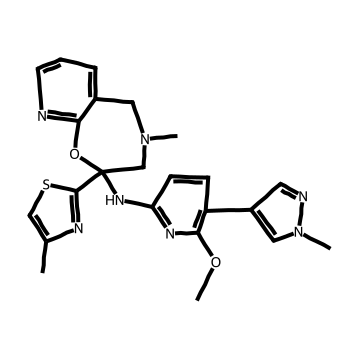 COc1nc(NC2(c3nc(C)cs3)CN(C)Cc3cccnc3O2)ccc1-c1cnn(C)c1